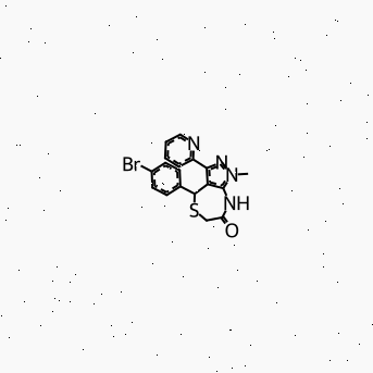 Cn1nc(-c2ccccn2)c2c1NC(=O)CSC2c1ccc(Br)cc1